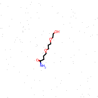 NC(=O)CCCOCCCOCCO